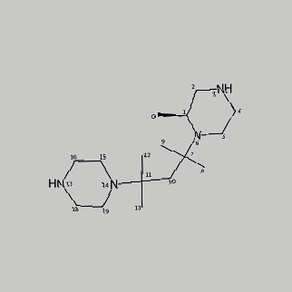 C[C@H]1CNCCN1C(C)(C)CC(C)(C)N1CCNCC1